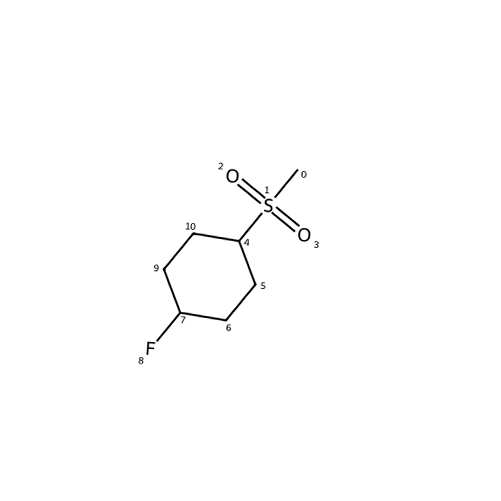 CS(=O)(=O)C1CCC(F)CC1